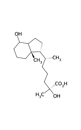 C[C@H](CCC[C@](C)(O)C(=O)O)[C@H]1CCC2C(O)CCC[C@]21C